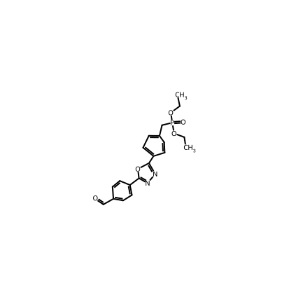 CCOP(=O)(Cc1ccc(-c2nnc(-c3ccc(C=O)cc3)o2)cc1)OCC